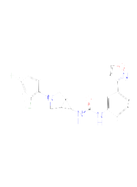 O=C(Nc1cccc(-c2ccon2)c1)NC1C2CN(c3ccc(F)cc3F)CC21